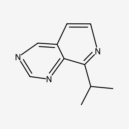 CC(C)c1nccc2cncnc12